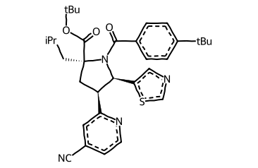 CC(C)C[C@@]1(C(=O)OC(C)(C)C)C[C@H](c2cc(C#N)ccn2)[C@H](c2cncs2)N1C(=O)c1ccc(C(C)(C)C)cc1